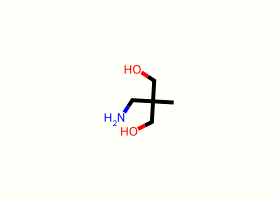 CC(CN)(CO)CO